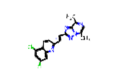 Cc1ncc(C)n2nc(/C=C/c3ccc4c(Cl)cc(Cl)cc4n3)nc12